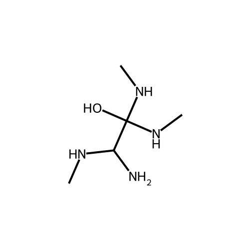 CNC(N)C(O)(NC)NC